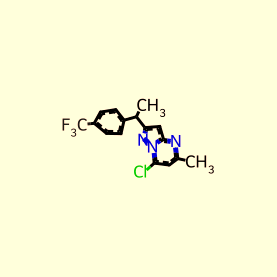 Cc1cc(Cl)n2nc(C(C)c3ccc(C(F)(F)F)cc3)cc2n1